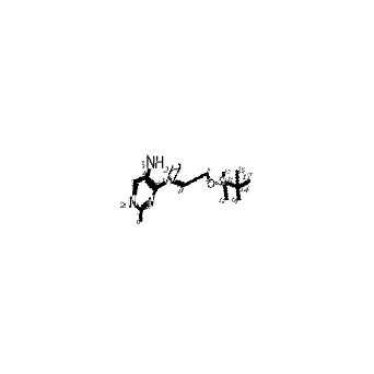 Cc1ncc(N)c(NCCO[Si](C)(C)C(C)(C)C)n1